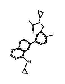 CC(=O)N(Cc1cc(-c2ccc3ncnc(NC4CC4)c3c2)ccc1Cl)C1CC1